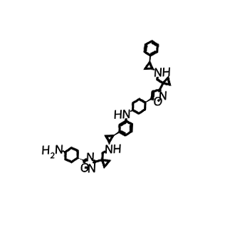 N[C@H]1CC[C@H](c2nc(C3(CN[C@@H]4C[C@H]4c4cccc(N[C@H]5CC[C@H](c6cc(C7(CN[C@@H]8C[C@H]8c8ccccc8)CC7)no6)CC5)c4)CC3)no2)CC1